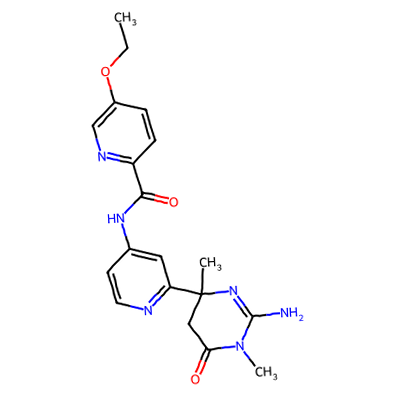 CCOc1ccc(C(=O)Nc2ccnc(C3(C)CC(=O)N(C)C(N)=N3)c2)nc1